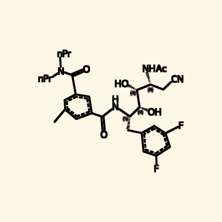 CCCN(CCC)C(=O)c1cc(C)cc(C(=O)N[C@@H](Cc2cc(F)cc(F)c2)[C@@H](O)[C@H](O)[C@@H](CC#N)NC(C)=O)c1